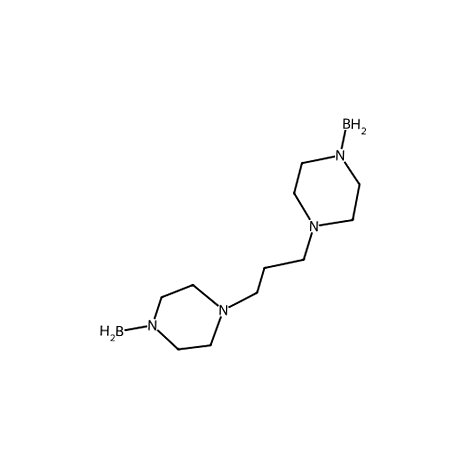 BN1CCN(CCCN2CCN(B)CC2)CC1